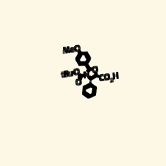 COc1ccc(C2O[C@@H](C(=O)O)[C@H](c3ccccc3)N2C(=O)OC(C)(C)C)cc1